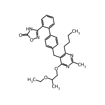 CCCCc1nc(C)nc(OCC(C)OCC)c1Cc1ccc(-c2ccccc2-c2noc(=O)[nH]2)cc1